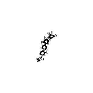 CC(C)(C)OC(=O)N1CCC(N2CCC(c3ccc(NC4CCC(=O)NC4=O)cc3F)CC2)C(F)C1